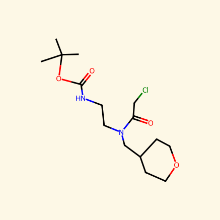 CC(C)(C)OC(=O)NCCN(CC1CCOCC1)C(=O)CCl